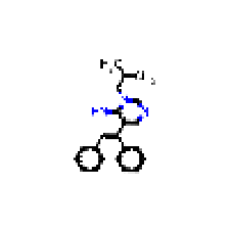 CC(C)Cn1cncc(/C(=C/c2ccccc2)c2ccccc2)c1=N